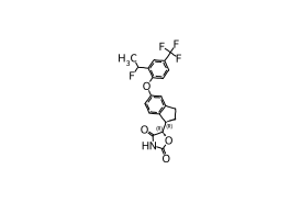 CC(F)c1cc(C(F)(F)F)ccc1Oc1ccc2c(c1)CC[C@H]2[C@H]1OC(=O)NC1=O